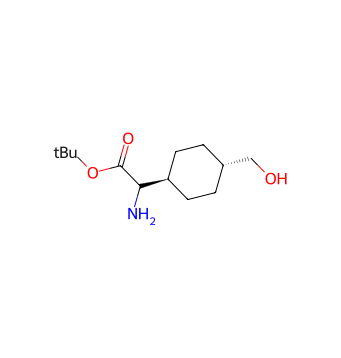 CC(C)(C)OC(=O)C(N)[C@H]1CC[C@H](CO)CC1